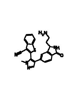 Cn1ncc(-c2ccc3c(c2)C(CCN)NC3=O)c1-c1sc2ccccc2c1C#N